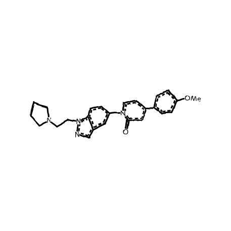 COc1ccc(-c2ccn(-c3ccc4c(cnn4CCN4CCCC4)c3)c(=O)c2)cc1